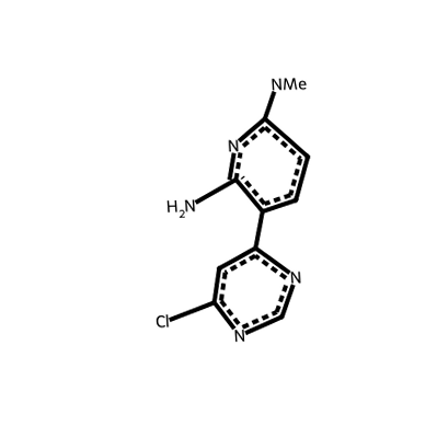 CNc1ccc(-c2cc(Cl)ncn2)c(N)n1